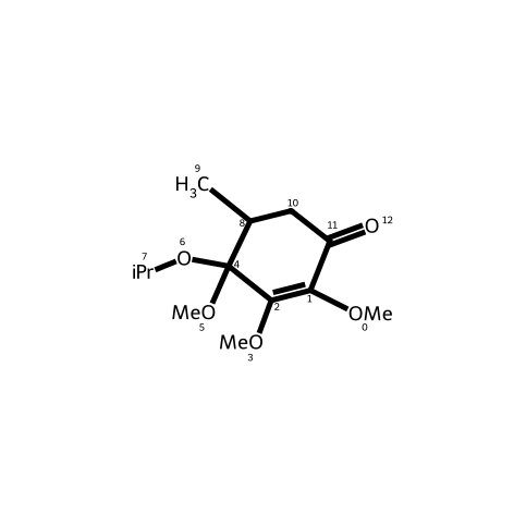 COC1=C(OC)C(OC)(OC(C)C)C(C)CC1=O